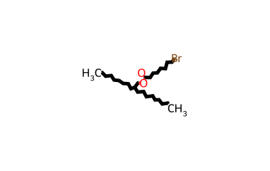 CCCCCCCCCC(CCCCCCCCC)COC(=O)CCCCCCCBr